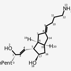 CCCCC[C@H](O)/C=C/[C@@H]1[C@H]2CC(=CCCCN)C[C@H]2C[C@H]1O